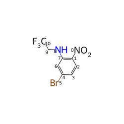 O=[N+]([O-])c1ccc(Br)cc1NCC(F)(F)F